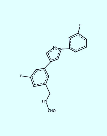 O=CNCc1cc(F)cc(-c2cnn(-c3cccc(F)c3)c2)c1